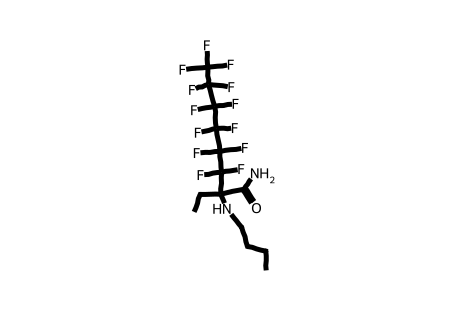 CCCCNC(CC)(C(N)=O)C(F)(F)C(F)(F)C(F)(F)C(F)(F)C(F)(F)C(F)(F)F